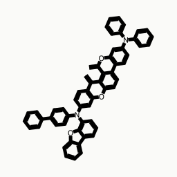 C=C1c2ccc(N(c3ccc(-c4ccccc4)cc3)c3cccc4c3oc3ccccc34)cc2Oc2ccc3c(c21)C(=C)Oc1cc(N(c2ccccc2)c2ccccc2)ccc1-3